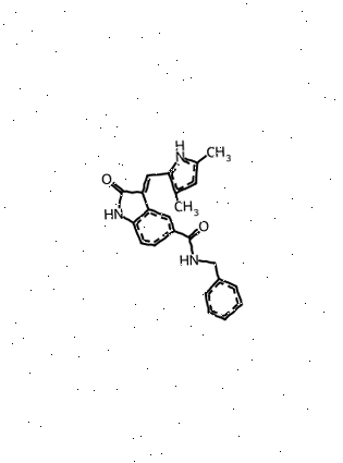 Cc1cc(C)c(C=C2C(=O)Nc3ccc(C(=O)NCc4ccccc4)cc32)[nH]1